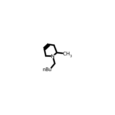 CCCCCN1CC#CCC1C